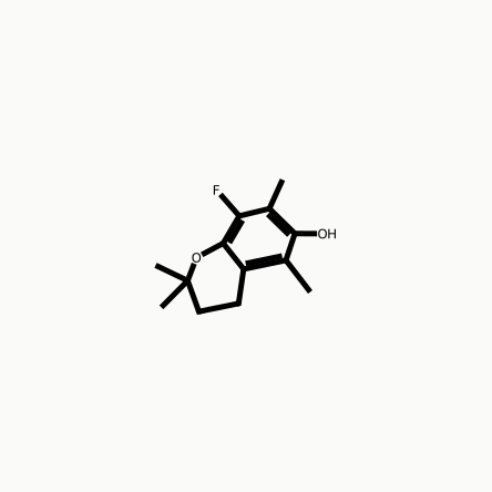 Cc1c(O)c(C)c2c(c1F)OC(C)(C)CC2